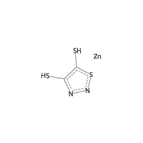 Sc1nnsc1S.[Zn]